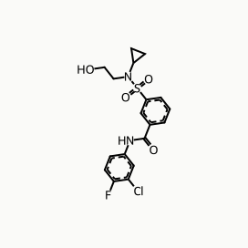 O=C(Nc1ccc(F)c(Cl)c1)c1cccc(S(=O)(=O)N(CCO)C2CC2)c1